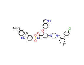 COc1ccc(Nc2ccc(S(=O)(=O)NC(=O)c3ccc(N4CCN(CC5=C(c6ccc(Cl)cc6)CC(C)(C)CC5)CC4)cc3Oc3ccc4[nH]ccc4c3)cc2[N+](=O)[O-])cc1